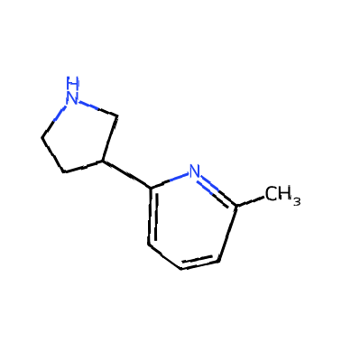 Cc1cccc(C2CCNC2)n1